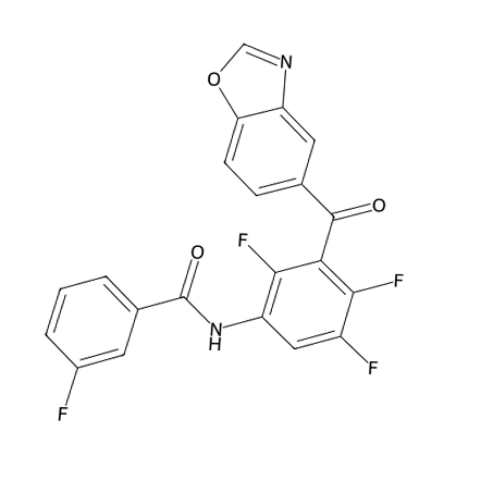 O=C(Nc1cc(F)c(F)c(C(=O)c2ccc3ocnc3c2)c1F)c1cccc(F)c1